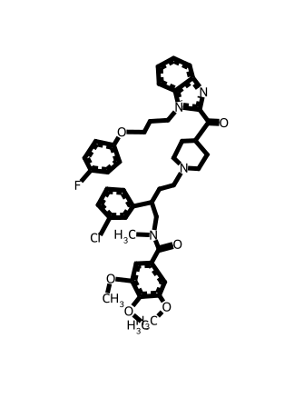 COc1cc(C(=O)N(C)CC(CCN2CCC(C(=O)c3nc4ccccc4n3CCCOc3ccc(F)cc3)CC2)c2cccc(Cl)c2)cc(OC)c1OC